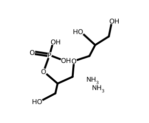 N.N.O=P(O)(O)OC(CO)COCC(O)CO